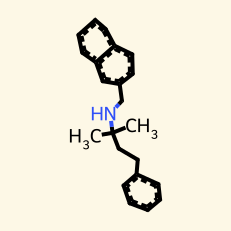 CC(C)(CCc1ccccc1)NCc1ccc2ccccc2c1